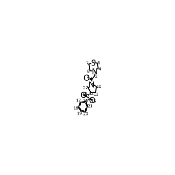 O=C(CN1CCSCC1)N1CC[C@@H](S(=O)(=O)c2ccccc2)C1